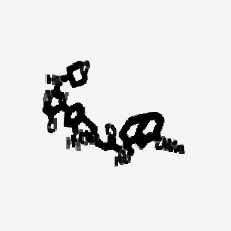 COc1ccc2c(c1)C(CO)(NC(=O)CN(C)Cc1ccc(-c3nc(NC4CCOCC4)ncc3Cl)cc1C=O)CC2